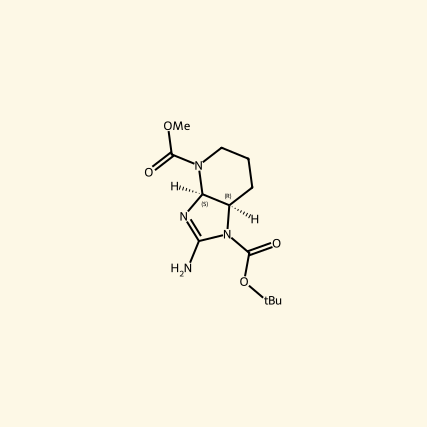 COC(=O)N1CCC[C@@H]2[C@H]1N=C(N)N2C(=O)OC(C)(C)C